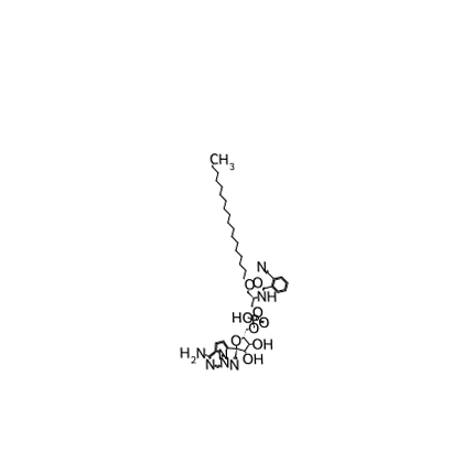 CCCCCCCCCCCCCCCCCCOC[C@H](COP(=O)(O)OC[C@H]1O[C@@](C#N)(c2ccc3c(N)ncnn23)[C@H](O)[C@@H]1O)NC(=O)c1ccccc1C#N